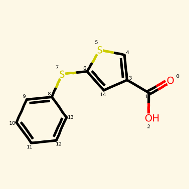 O=C(O)c1csc(Sc2ccccc2)c1